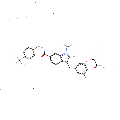 COC(=O)[C@@H](C)Oc1cc(Cl)cc(Cc2c(C)n(C(C)C)c3cc(C(=O)N[C@@H](C)c4ccc(C(C)(C)C)cc4)ccc23)c1